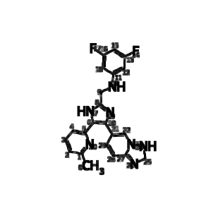 Cc1cccc(-c2[nH]c(CNc3cc(F)cc(F)c3)nc2C2=CN3NCN=C3C=C2)n1